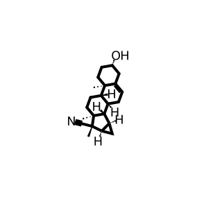 C[C@]12CC[C@H](O)CC1=CC[C@H]1[C@@H]3[C@H]4C[C@H]4[C@](C)(C#N)[C@@]3(C)CC[C@@H]12